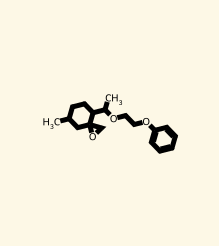 CC1CCC(C(C)OCCOc2ccccc2)C2(CO2)C1